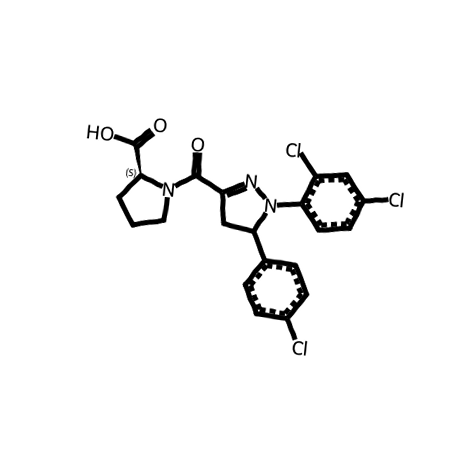 O=C(O)[C@@H]1CCCN1C(=O)C1=NN(c2ccc(Cl)cc2Cl)C(c2ccc(Cl)cc2)C1